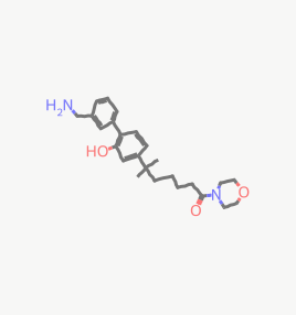 CC(C)(CCCCC(=O)N1CCOCC1)c1ccc(-c2cccc(CN)c2)c(O)c1